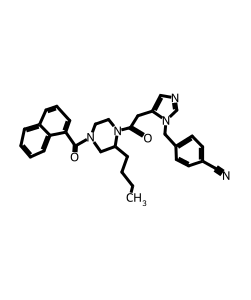 CCCCC1CN(C(=O)c2cccc3ccccc23)CCN1C(=O)Cc1cncn1Cc1ccc(C#N)cc1